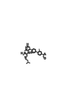 CN/C(N/C(N)=C/N=C\CC(C)C)=C(\C=N)c1ccc(-c2ccc(C3(C=O)CC3)cc2C)cn1